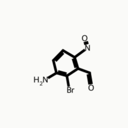 Nc1ccc(N=O)c(C=O)c1Br